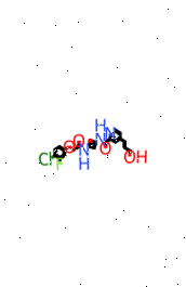 O=C(COc1ccc(Cl)c(F)c1)NC12CC(NC(=O)c3cc(C=CCO)ccn3)(C1)C2